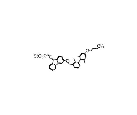 CCOC(=O)C=C=C1c2ccccc2-c2cc(OCc3cccc(-c4c(C)cc(OCCCO)cc4C)c3C)ccc21